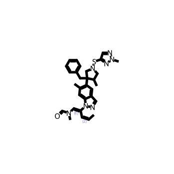 C/C=C\C(=C/N(C)C=O)n1ncc2cc(C3(Cc4ccccc4)CN(Sc4cnn(C)n4)CC3C)c(C)cc21